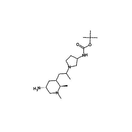 CC(CC1C[C@@H](N)CN(C)[C@@H]1C)N1CCC(NC(=O)OC(C)(C)C)C1